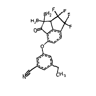 BC1(B)C(=O)c2c(Oc3cc(C#N)cc(CC)c3)ccc3c2C1C(F)(F)C3(F)F